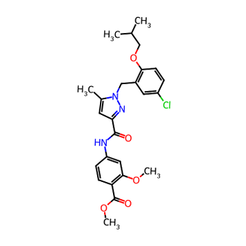 COC(=O)c1ccc(NC(=O)c2cc(C)n(Cc3cc(Cl)ccc3OCC(C)C)n2)cc1OC